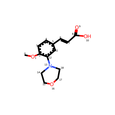 COc1ccc(/C=C/C(=O)O)cc1N1CCOCC1